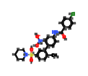 Cc1ccc(S(=O)(=O)N2CCCCC2)cc1-c1ccc(NC(=O)c2ccc(Cl)cc2)cc1[N+](=O)[O-]